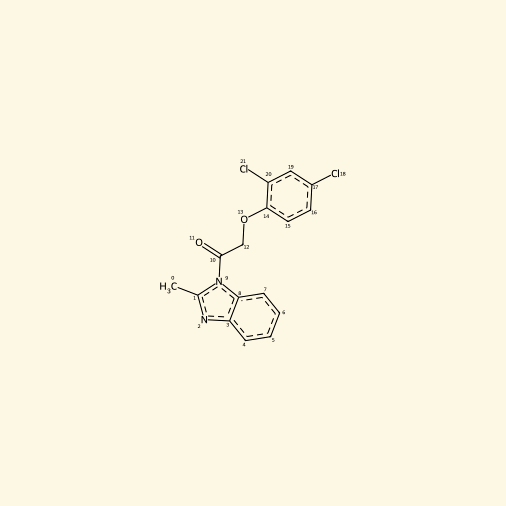 Cc1nc2ccccc2n1C(=O)COc1ccc(Cl)cc1Cl